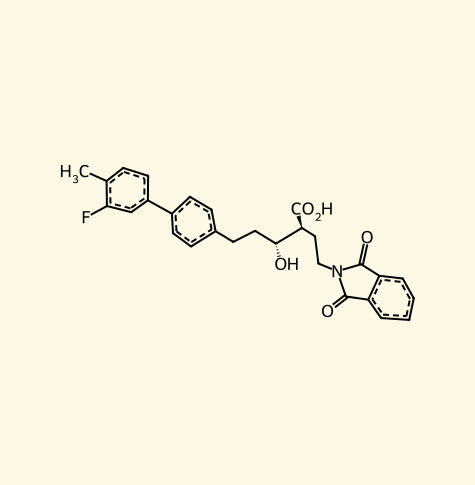 Cc1ccc(-c2ccc(CC[C@@H](O)[C@H](CCN3C(=O)c4ccccc4C3=O)C(=O)O)cc2)cc1F